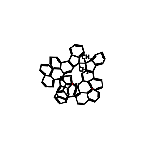 CC1(C2(C)c3ccccc3-c3c2cc(N(c2cccc4ccccc24)c2cccc4ccccc24)c2ccccc32)c2ccccc2-c2c1cc(N(c1cccc3ccccc13)c1cccc3ccccc13)c1ccccc21